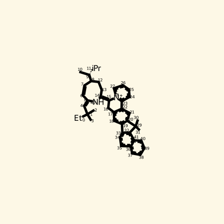 CCC(C)(C)/C=C1/C=CC([C@H](C)C(C)C)CC/C(=C2/Cc3cc4c(cc3-c3cccc[n+]32)C(C)(C)c2c-4ccc3ccccc23)N1